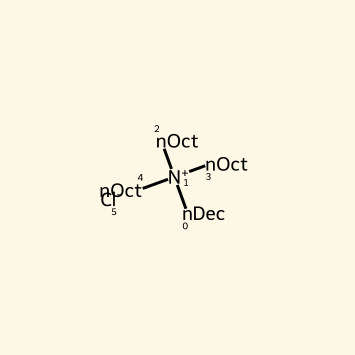 CCCCCCCCCC[N+](CCCCCCCC)(CCCCCCCC)CCCCCCCC.[Cl-]